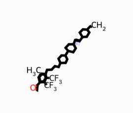 C=CC1CCC(/C=C/C2CCC(C3CCC(CCCCc4c(C)cc(C5CO5)c(C(F)(F)F)c4C(F)(F)F)CC3)CC2)CC1